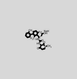 Cc1ccccc1-c1ccc(F)c([C@H](CC(=O)O)NC(=O)NC2C(=O)C=CN(C)C2=O)c1C.[NaH]